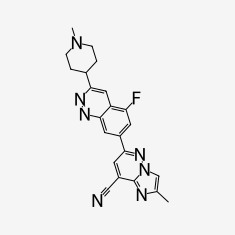 Cc1cn2nc(-c3cc(F)c4cc(C5CCN(C)CC5)nnc4c3)cc(C#N)c2n1